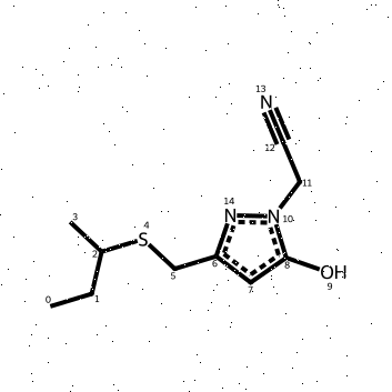 CCC(C)SCc1cc(O)n(CC#N)n1